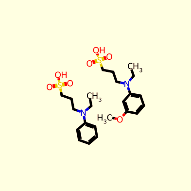 CCN(CCCS(=O)(=O)O)c1cccc(OC)c1.CCN(CCCS(=O)(=O)O)c1ccccc1